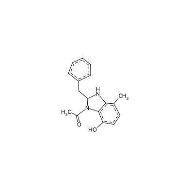 CC(=O)N1c2c(O)ccc(C)c2NC1Cc1ccccc1